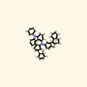 c1ccc(-n2c3ccccc3c3c(N(c4ccc5sc6ccc7ccccc7c6c5c4)c4cccc5c4sc4ccccc45)cccc32)cc1